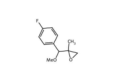 COC(c1ccc(F)cc1)C1(C)CO1